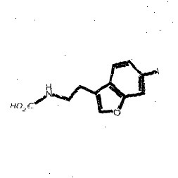 O=C(O)NCCc1coc2cc(I)ccc12